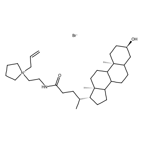 C=CC[N+]1(CCNC(=O)CCC(C)[C@H]2CCC3C4CCC5C[C@H](O)CC[C@]5(C)C4CC[C@@]32C)CCCC1.[Br-]